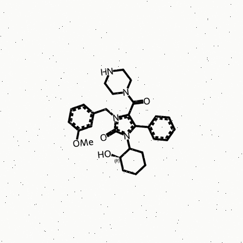 COc1cccc(Cn2c(C(=O)N3CCNCC3)c(-c3ccccc3)n(C3CCCC[C@H]3O)c2=O)c1